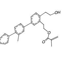 C=C(C)C(=O)OCCc1cc(-c2ccc(-c3ccccc3)c(C)c2)ccc1CCO